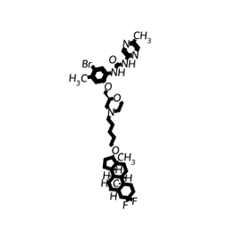 Cc1cnc(NC(=O)Nc2cc(Br)c(C)cc2OC[C@@H]2CN(CCCCCO[C@H]3CC[C@H]4[C@@H]5CC[C@H]6CC(F)(F)CC[C@]6(C)[C@H]5CC[C@]34C)CCO2)cn1